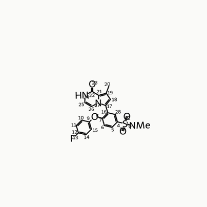 CNS(=O)(=O)c1ccc(Oc2ccc(F)cc2)c(-c2cc(C)c3c(=O)[nH]ccn23)c1